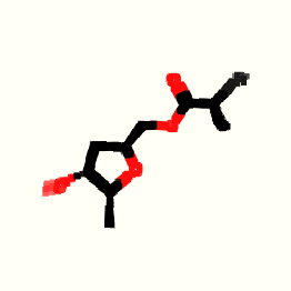 CC(C)C(C)C(=O)OC[C@@H]1C[C@@H](O)[C@H](C)O1